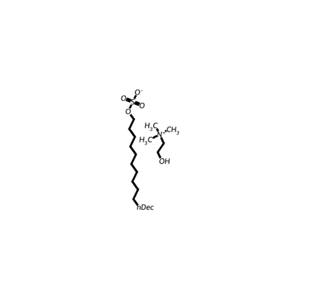 CCCCCCCCCCCCCCCCCCCCOS(=O)(=O)[O-].C[N+](C)(C)CCO